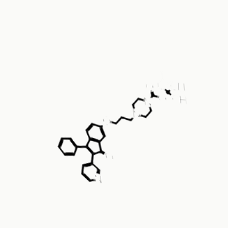 CC(C)(C)OC(=O)N1CCN(CCCOc2ccc3c(c2)C(=O)C(c2cccnc2)=C3c2ccccc2)CC1